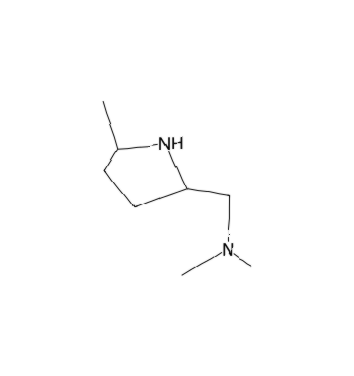 CC1CCC(CN(C)C)N1